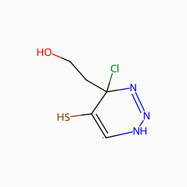 OCCC1(Cl)N=NN[C]=C1S